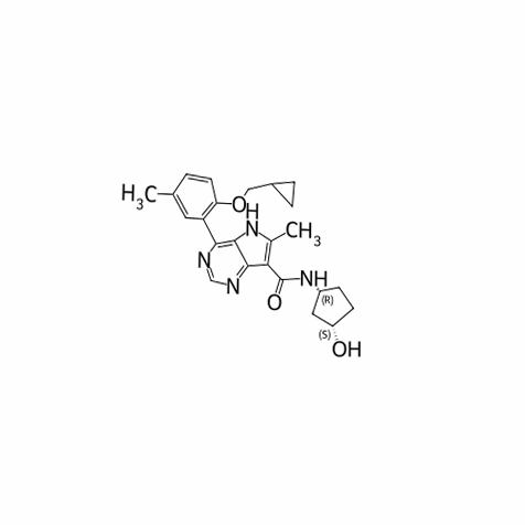 Cc1ccc(OCC2CC2)c(-c2ncnc3c(C(=O)N[C@@H]4CC[C@H](O)C4)c(C)[nH]c23)c1